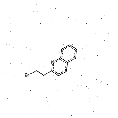 BrCCc1ccc2ccccc2n1